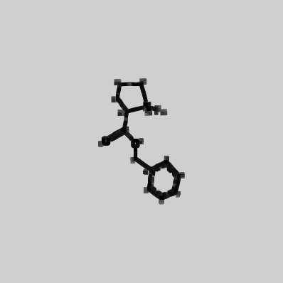 O=C(OCc1ccccc1)C1CCCN1F